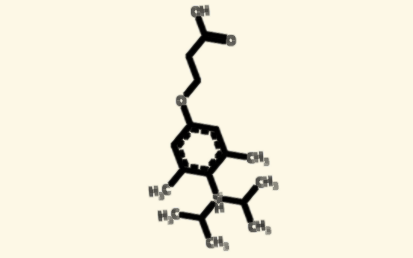 Cc1cc(OCCC(=O)O)cc(C)c1[SiH](C(C)C)C(C)C